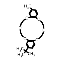 Cc1ccc2c(c1)OCCOCCOc1cc(C(C)(C)C)ccc1OCCOCCO2